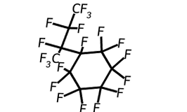 FC(F)(F)C(F)(F)C(F)(C(F)(F)F)C1(F)C(F)(F)C(F)(F)C(F)(F)C(F)(F)C1(F)F